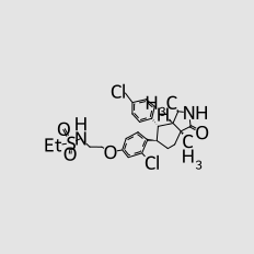 CCS(=O)(=O)NCCOc1ccc([C@@H]2CC[C@@]3(C)C(=O)N[C@H](C)[C@H]3[C@H]2c2ccc(Cl)cc2)c(Cl)c1